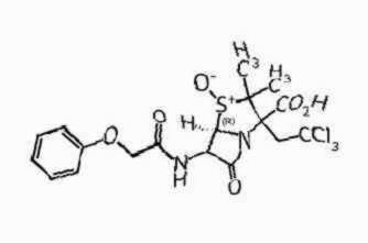 CC1(C)[S+]([O-])[C@@H]2C(NC(=O)COc3ccccc3)C(=O)N2C1(CC(Cl)(Cl)Cl)C(=O)O